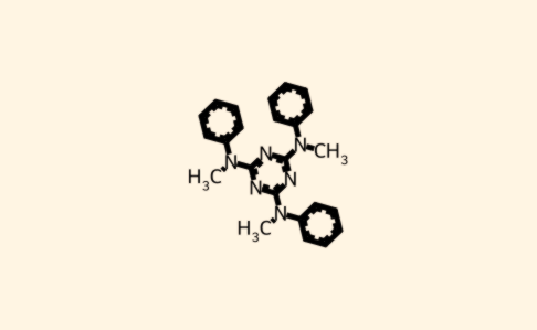 CN(c1ccccc1)c1nc(N(C)c2ccccc2)nc(N(C)c2ccccc2)n1